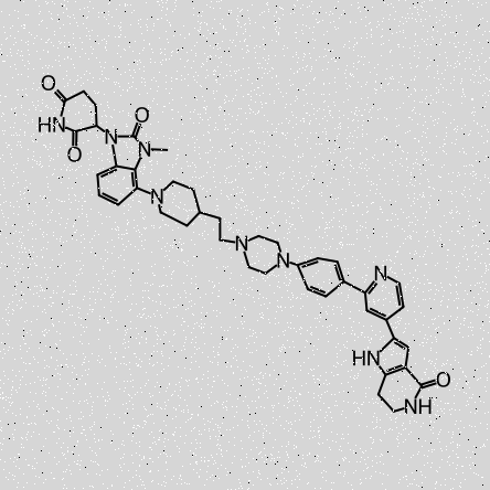 Cn1c(=O)n(C2CCC(=O)NC2=O)c2cccc(N3CCC(CCN4CCN(c5ccc(-c6cc(-c7cc8c([nH]7)CCNC8=O)ccn6)cc5)CC4)CC3)c21